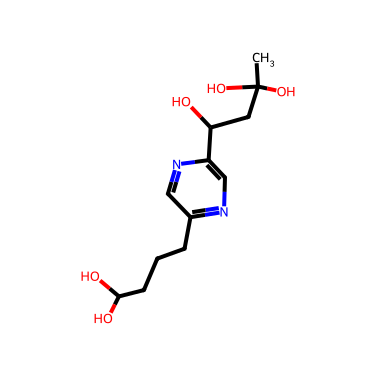 CC(O)(O)CC(O)c1cnc(CCCC(O)O)cn1